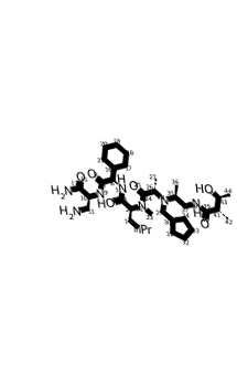 CC(C)C[C@@H](C(=O)N[C@H](C(=O)N[C@@H](CN)C(N)=O)C1CCCCC1)N(C)C(=O)[C@H](C)N(CC1CCCC1)[C@@H](C)CNC(=O)[C@@H](C)[C@H](C)O